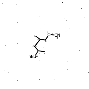 CCCCC(C)CC(C)COC#N